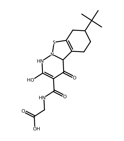 CC(C)(C)C1CCC2=C(C1)SN1NC(O)=C(C(=O)NCC(=O)O)C(=O)C21